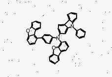 c1ccc(-n2c3ccccc3c3ccc(N(c4ccc(-c5cccc6oc7ccccc7c56)cc4)c4cccc5c4oc4ccccc45)cc32)cc1